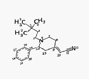 CC(C)(C)CCN1CC/C(=C\C#N)CC1c1ccccc1